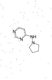 [c]1nccc(NN2CCCC2)n1